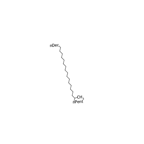 CCCCCCCCCCCCCCCCCCCCCCCCCCC(C)CCCCC